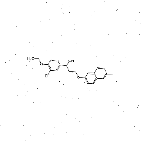 CCOc1ccc(C(O)CCOc2ccc3cc(I)ccc3c2)cc1Cl